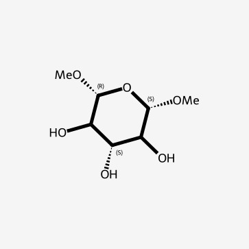 CO[C@@H]1O[C@H](OC)C(O)[C@H](O)C1O